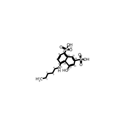 CCCCCNc1ccc(S(=O)(=O)O)c2cc(S(=O)(=O)O)cc(O)c12